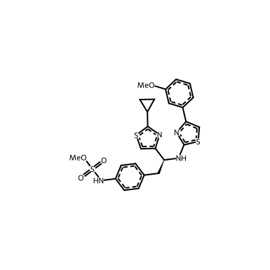 COc1cccc(-c2csc(N[C@@H](Cc3ccc(NS(=O)(=O)OC)cc3)c3csc(C4CC4)n3)n2)c1